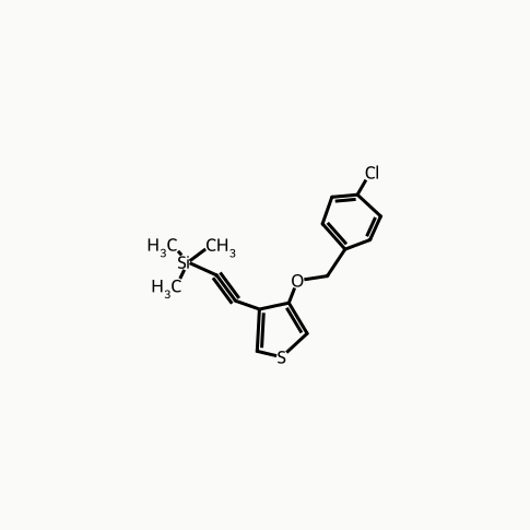 C[Si](C)(C)C#Cc1cscc1OCc1ccc(Cl)cc1